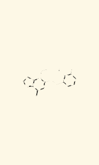 CCOC(=O)Cn1c(SCc2cccc(F)c2F)cc(=O)c2sccc21